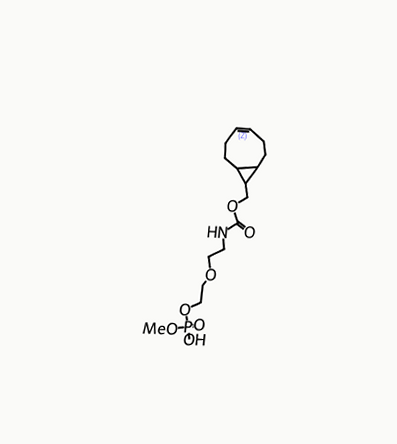 COP(=O)(O)OCCOCCNC(=O)OCC1C2CC/C=C\CCC21